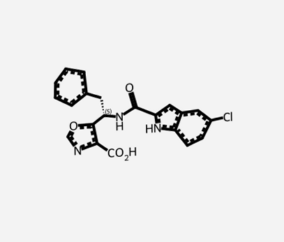 O=C(N[C@@H](Cc1ccccc1)c1ocnc1C(=O)O)c1cc2cc(Cl)ccc2[nH]1